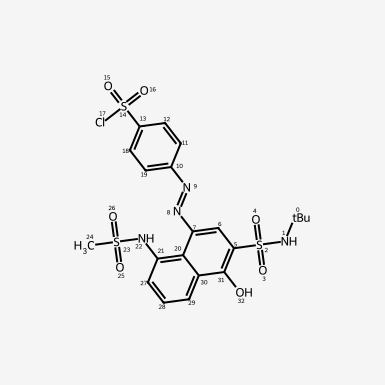 CC(C)(C)NS(=O)(=O)c1cc(N=Nc2ccc(S(=O)(=O)Cl)cc2)c2c(NS(C)(=O)=O)cccc2c1O